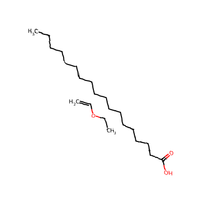 C=COCC.CCCCCCCCCCCCCCCCCC(=O)O